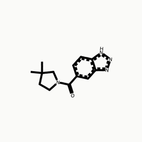 CC1(C)CCN(C(=O)c2ccc3[nH]nnc3c2)C1